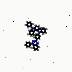 c1ccc(-c2nc(-c3ccc(-n4c5ccccc5c5ccc6c(c7ccccc7n6-c6ccccc6)c54)cc3)nc3ccccc23)cc1